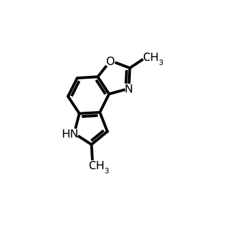 Cc1cc2c(ccc3oc(C)nc32)[nH]1